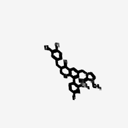 Cc1nc(F)ccc1-c1cc(Cn2ccn(C)c2=N)cc2c1OCC(Cc1ccc(Cl)c(Cl)c1)C2=O